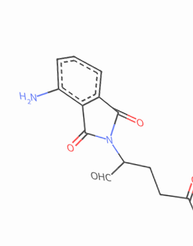 CNC(=O)CCC(C=O)N1C(=O)c2cccc(N)c2C1=O